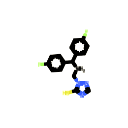 Fc1ccc(C([SiH2]Cn2ncnc2S)c2ccc(F)cc2)cc1